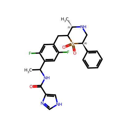 CC(NC(=O)c1c[nH]cn1)c1cc(F)c(CC2[C@H](C)NC[C@@H](c3ccccc3)S2(=O)=O)cc1F